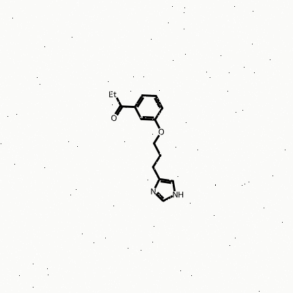 CCC(=O)c1cccc(OCCCc2c[nH]cn2)c1